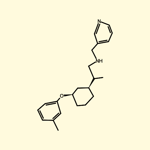 Cc1cccc(O[C@@H]2CCC[C@H](C(C)CNCc3cccnc3)C2)c1